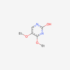 CCOc1cnc(O)nc1OCC